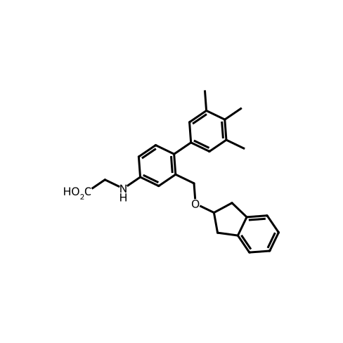 Cc1cc(-c2ccc(NCC(=O)O)cc2COC2Cc3ccccc3C2)cc(C)c1C